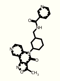 Cc1onc2c1c(=O)n(C1CCCC(CNC(=O)c3cccnc3)C1)c1ccncc21